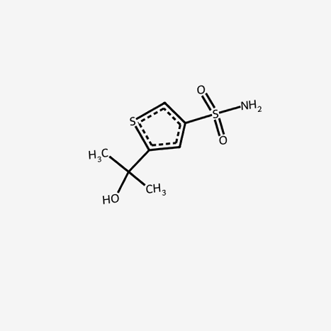 CC(C)(O)c1cc(S(N)(=O)=O)cs1